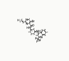 CSc1ncc(Br)c(C(=O)N[C@@H]2CCC[C@H](Nc3cc(C(F)(F)F)nc4ccccc34)C2)n1